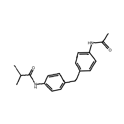 CC(=O)Nc1ccc(Cc2ccc(NC(=O)C(C)C)cc2)cc1